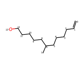 C=CCCCCC(C)CCCCC[O]